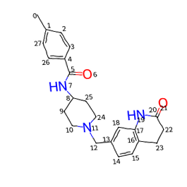 Cc1ccc(C(=O)NC2CCN(Cc3ccc4c(c3)NC(=O)CC4)CC2)cc1